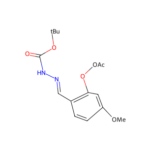 COc1ccc(C=NNC(=O)OC(C)(C)C)c(OOC(C)=O)c1